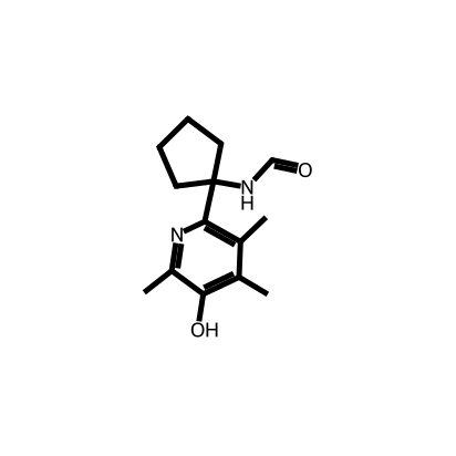 Cc1nc(C2(NC=O)CCCC2)c(C)c(C)c1O